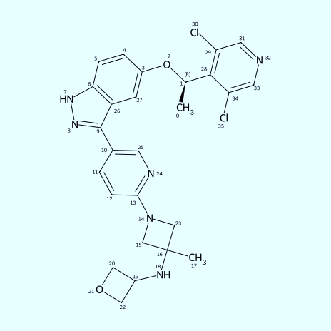 C[C@@H](Oc1ccc2[nH]nc(-c3ccc(N4CC(C)(NC5COC5)C4)nc3)c2c1)c1c(Cl)cncc1Cl